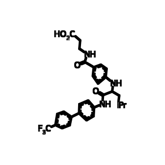 CC(C)CC(Nc1ccc(C(=O)NCCC(=O)O)cc1)C(=O)Nc1ccc(-c2ccc(C(F)(F)F)cc2)cc1